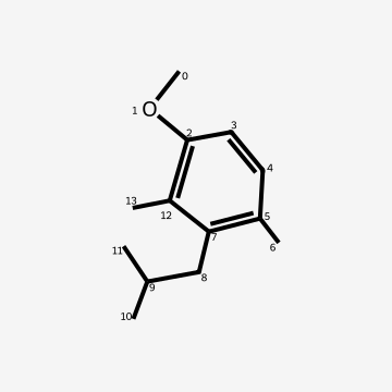 COc1ccc(C)c(CC(C)C)c1C